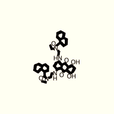 O=C1c2c(O)ccc(O)c2C(=O)c2c(NCCN3CCOC3c3cccc4ccccc34)ccc(NCCN3CCOC3c3cccc4ccccc34)c21